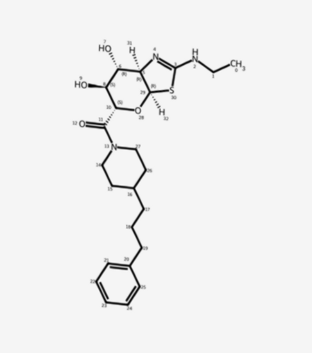 CCNC1=N[C@@H]2[C@@H](O)[C@H](O)[C@@H](C(=O)N3CCC(CCCc4ccccc4)CC3)O[C@@H]2S1